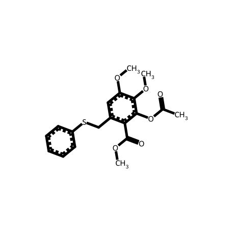 COC(=O)c1c(CSc2ccccc2)cc(OC)c(OC)c1OC(C)=O